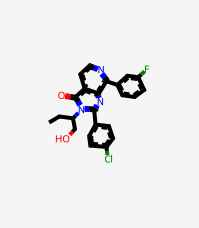 CCC(CO)n1c(-c2ccc(Cl)cc2)nc2c(-c3cccc(F)c3)nccc2c1=O